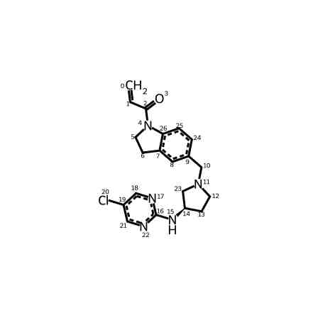 C=CC(=O)N1CCc2cc(CN3CC[C@@H](Nc4ncc(Cl)cn4)C3)ccc21